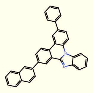 c1ccc(-c2ccc3c(c2)c2ccc(-c4ccc5ccccc5c4)cc2c2nc4ccccc4n32)cc1